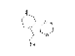 CN1CCOCC1.OCCN1CCNCC1